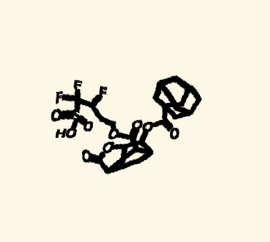 O=C1OC2C3CC(C2OC(=O)C24CC5CC(CC(C5)C2)C4)C(C(=O)OCCC(F)C(F)(F)S(=O)(=O)O)C13